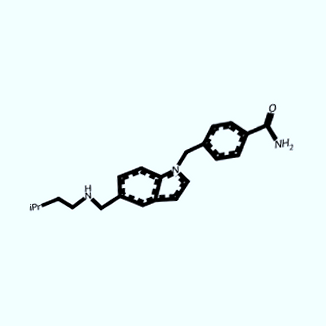 CC(C)CCNCc1ccc2c(ccn2Cc2ccc(C(N)=O)cc2)c1